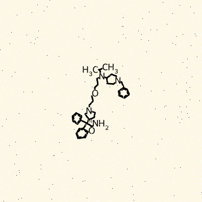 CC(C)N(CCCOCCCN1CC[C@@H](C(C(N)=O)(c2ccccc2)c2ccccc2)C1)C1CCN(Cc2ccccc2)CC1